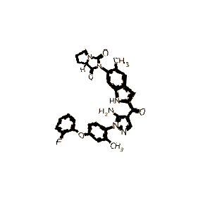 Cc1cc2cc(C(=O)c3cnn(-c4ccc(Oc5ccccc5F)cc4C)c3N)[nH]c2cc1N1C(=O)[C@@H]2CCCN2C1=O